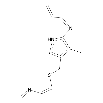 C=C/C=N\c1[nH]cc(CS/C=C\N=C)c1C